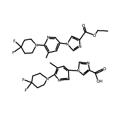 CCOC(=O)c1cn(-c2cnc(N3CCC(F)(F)CC3)c(C)c2)cn1.Cc1cc(-n2cnc(C(=O)O)c2)cnc1N1CCC(F)(F)CC1